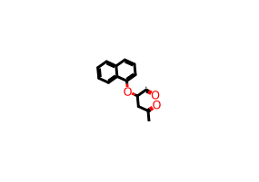 CC(=O)CC([C]=O)Oc1cccc2ccccc12